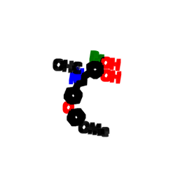 COc1ccc(Oc2ccc(C3=NN(C=O)C(c4cc(O)c(O)c(Br)c4)C3)cc2)cc1